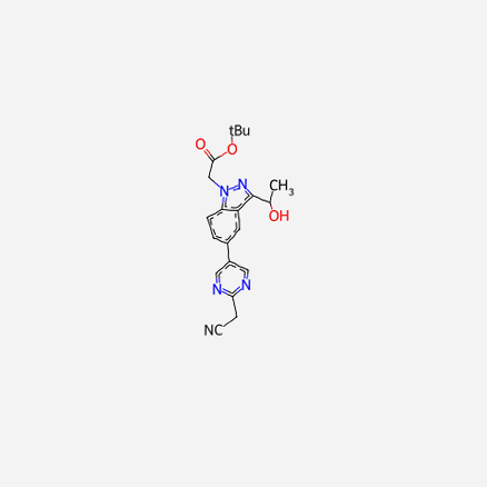 CC(O)c1nn(CC(=O)OC(C)(C)C)c2ccc(-c3cnc(CC#N)nc3)cc12